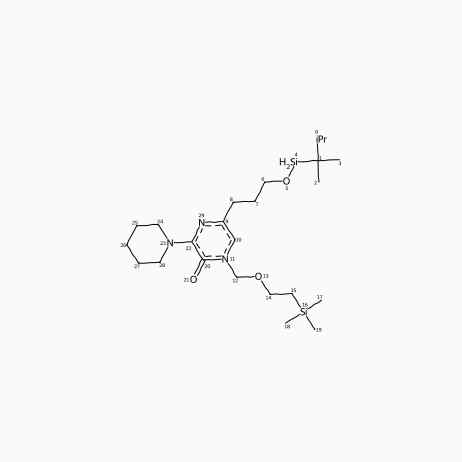 CC(C)C(C)(C)[SiH2]OCCCc1cn(COCC[Si](C)(C)C)c(=O)c(N2CCCCC2)n1